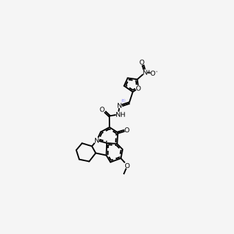 COc1cc2c3c(c1)c(=O)c(C(=O)N/N=C/c1ccc([N+](=O)[O-])o1)cn3C1CCCCC21